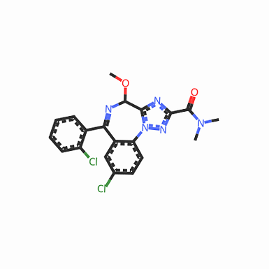 COC1N=C(c2ccccc2Cl)c2cc(Cl)ccc2-n2nc(C(=O)N(C)C)nc21